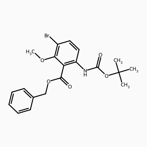 COc1c(Br)ccc(NC(=O)OC(C)(C)C)c1C(=O)OCc1ccccc1